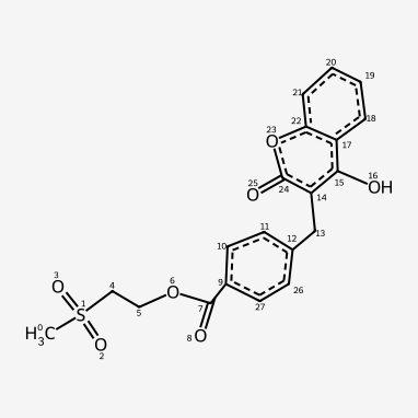 CS(=O)(=O)CCOC(=O)c1ccc(Cc2c(O)c3ccccc3oc2=O)cc1